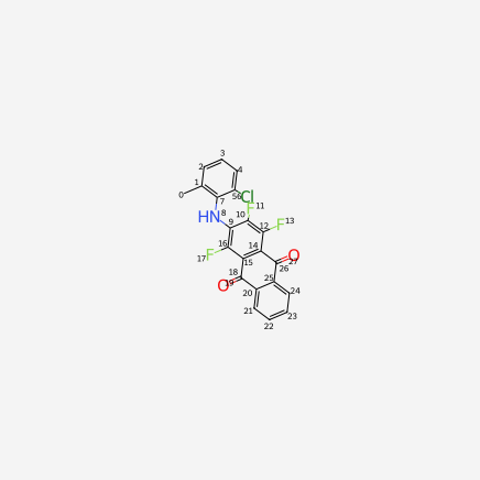 Cc1cccc(Cl)c1Nc1c(F)c(F)c2c(c1F)C(=O)c1ccccc1C2=O